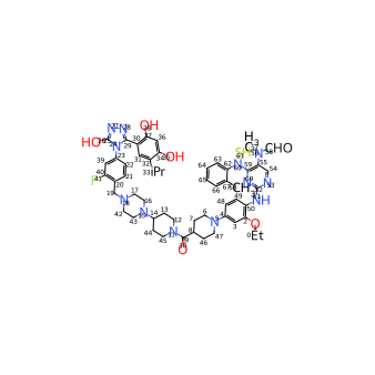 CCOc1cc(N2CCC(C(=O)N3CCC(N4CCN(Cc5ccc(-n6c(O)nnc6-c6cc(C(C)C)c(O)cc6O)cc5F)CC4)CC3)CC2)ccc1Nc1ncc(N(C)C=O)c(N(S)c2ccccc2C)n1